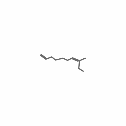 C=CCCCC/C=C(/C)CC